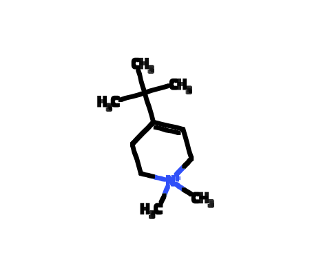 CC(C)(C)C1=CC[N+](C)(C)CC1